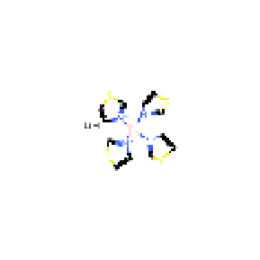 [LiH].c1c[n+]([B-]([n+]2ccsc2)([n+]2ccsc2)[n+]2ccsc2)cs1